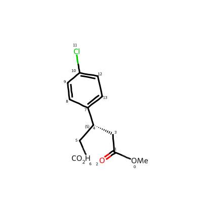 COC(=O)C[C@H](CC(=O)O)c1ccc(Cl)cc1